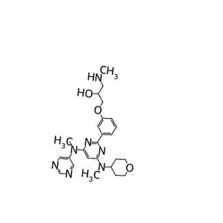 CNCC(O)COc1cccc(-c2nc(N(C)c3cncnc3)cc(N(C)C3CCOCC3)n2)c1